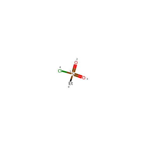 [CH2]CS(=O)(=O)Cl